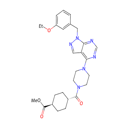 CCOc1cccc(Cn2ncc3c(N4CCN(C(=O)[C@H]5CC[C@H](C(=O)OC)CC5)CC4)ncnc32)c1